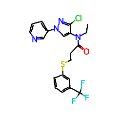 CCN(C(=O)CCSc1cccc(C(F)(F)F)c1)c1cn(-c2cccnc2)nc1Cl